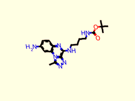 Cc1nnc2c(NCCCCNC(=O)OC(C)(C)C)nc3ccc(N)cc3n12